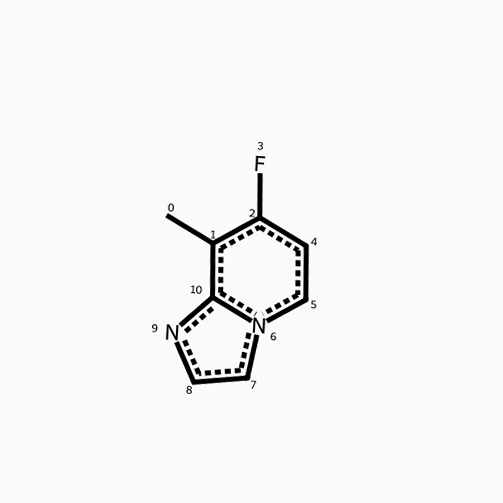 Cc1c(F)ccn2ccnc12